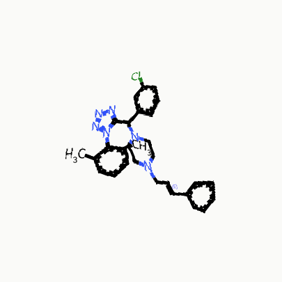 Cc1cccc(C)c1-n1nnnc1C(c1cccc(Cl)c1)N1CCN(C/C=C/c2ccccc2)CC1